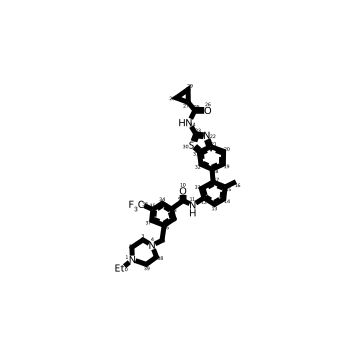 CCN1CCN(Cc2cc(C(=O)Nc3ccc(C)c(-c4ccc5nc(NC(=O)C6CC6)sc5c4)c3)cc(C(F)(F)F)c2)CC1